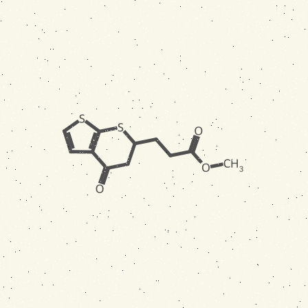 COC(=O)CCC1CC(=O)c2ccsc2S1